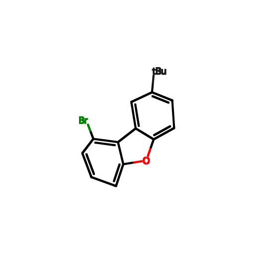 CC(C)(C)c1ccc2oc3cccc(Br)c3c2c1